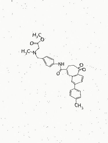 COC(=O)CN(C)Cc1ccc(NC(=O)C2=Cc3cc(-c4ccc(C)cc4)ccc3S(=O)(=O)CC2)cc1